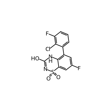 O=S1(=O)N=C(O)Nc2c(-c3cccc(F)c3Cl)cc(F)cc21